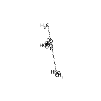 CCCCCCCCCCC(=O)O[C@@H](COCOCCCCCCCCCCCCCCCNC(C)=O)COP(=O)(O)O